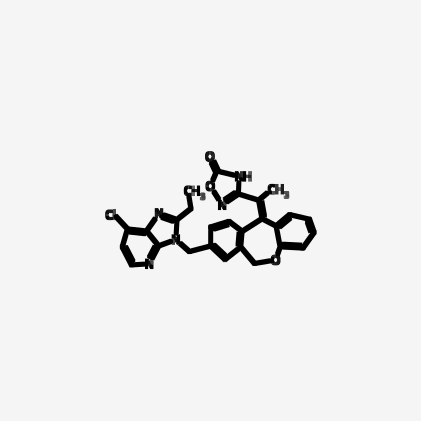 CCc1nc2c(Cl)ccnc2n1Cc1ccc2c(c1)COc1ccccc1C2=C(C)c1noc(=O)[nH]1